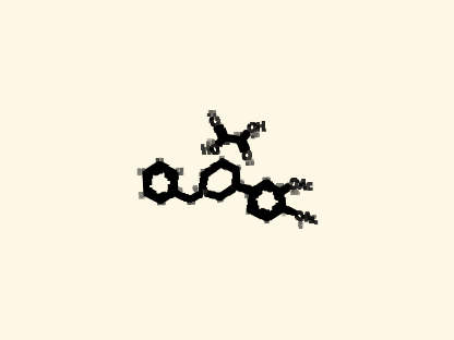 CC(=O)Oc1ccc(C2CCCN(Cc3ccccc3)C2)cc1OC(C)=O.O=C(O)C(=O)O